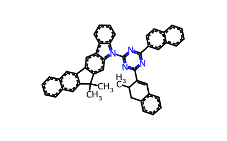 CC1Cc2ccccc2C=C1c1nc(-c2ccc3ccccc3c2)nc(-n2c3ccccc3c3cc4c(cc32)C(C)(C)c2cc3ccccc3cc2-4)n1